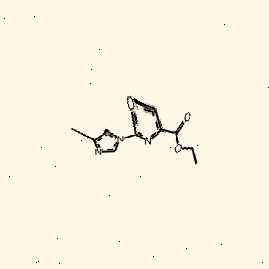 CCOC(=O)c1coc(-n2cnc(C)c2)n1